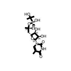 CC[C@](C)(C[C@H]1O[C@@H](n2cc(C)c(=O)[nH]c2=O)[C@H](O)[C@@H]1O)OP(=O)(O)C(C)(C)O